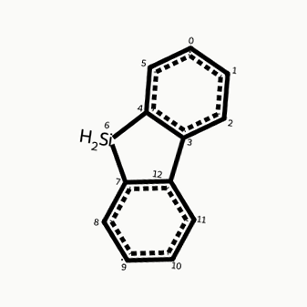 [c]1ccc2c(c1)[SiH2]c1c[c]ccc1-2